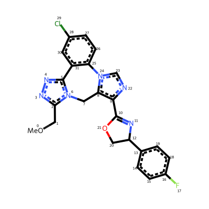 COCc1nnc2n1Cc1c(C3=NC(c4ccc(F)cc4)CO3)ncn1-c1ccc(Cl)cc1-2